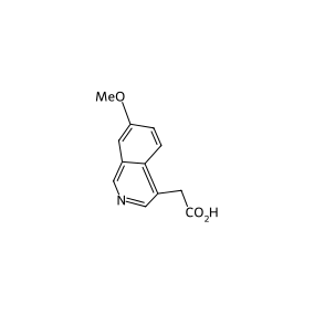 COc1ccc2c(CC(=O)O)cncc2c1